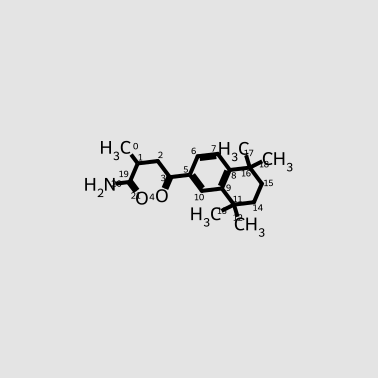 CC(CC(=O)c1ccc2c(c1)C(C)(C)CCC2(C)C)C(N)=O